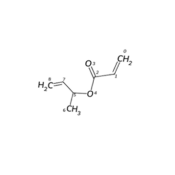 C=CC(=O)OC(C)C=C